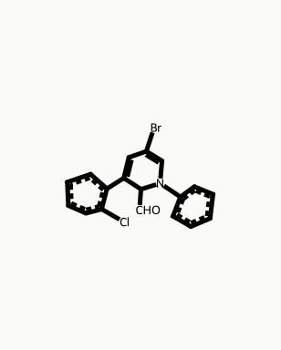 O=CC1C(c2ccccc2Cl)=CC(Br)=CN1c1ccccc1